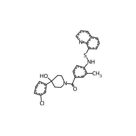 Cc1cc(C(=O)N2CCC(O)(c3cccc(Cl)c3)CC2)ccc1NSc1cccc2cccnc12